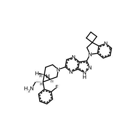 NC[C@]1(c2ccccc2F)[C@@H]2CCN(c3cnc4c(N5CC6(CCC6)c6ncccc65)n[nH]c4n3)C[C@@H]21